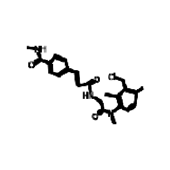 CNC(=O)c1ccc(C=CC(=O)NCC(=O)N(C)c2ccc(C)c(CCl)c2C)cc1